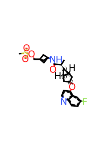 CC(C(=O)NC12CC(COS(C)(=O)=O)(C1)C2)[C@@H]1[C@@H]2C[C@@H](Oc3ccnc4ccc(F)cc34)C[C@@H]21